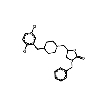 O=C1OC(CN2CCC(Cc3cc(Cl)ccc3Cl)CC2)CN1Cc1ccccc1